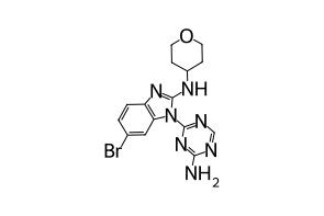 Nc1ncnc(-n2c(NC3CCOCC3)nc3ccc(Br)cc32)n1